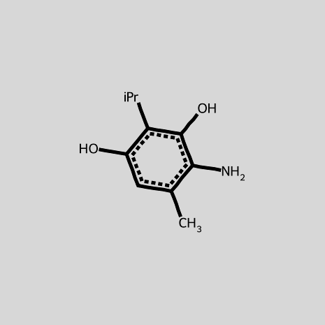 Cc1cc(O)c(C(C)C)c(O)c1N